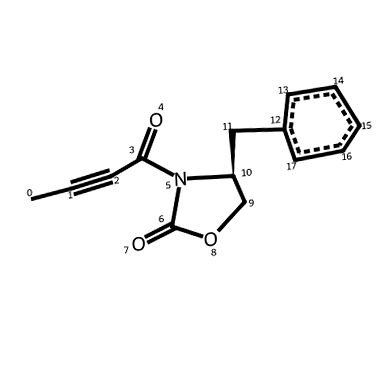 CC#CC(=O)N1C(=O)OC[C@@H]1Cc1ccccc1